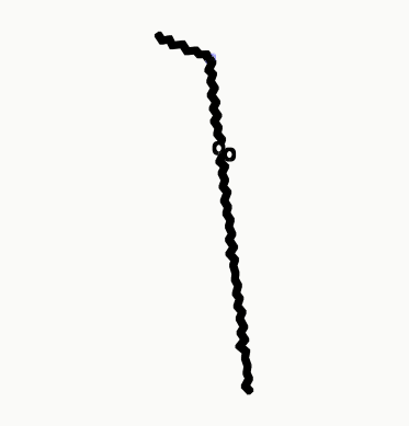 CCCCCCCC/C=C\CCCCCCCCCCCCOC(=O)CCCCCCCCCCCCCCCCCCCCCCCCCCCCCCCCCCCC